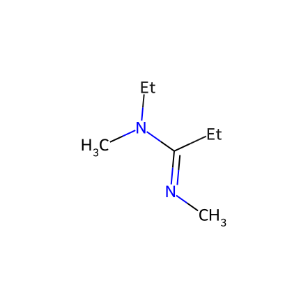 CC/C(=N\C)N(C)CC